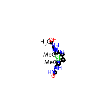 COc1nc(-c2cccc(-c3ccnc(-c4cc(OC)c5nc(CN[C@H]6C[C@@](C)(O)C6)nn5c4)c3Cl)c2Cl)ccc1CNC[C@@H]1CCC(=O)N1